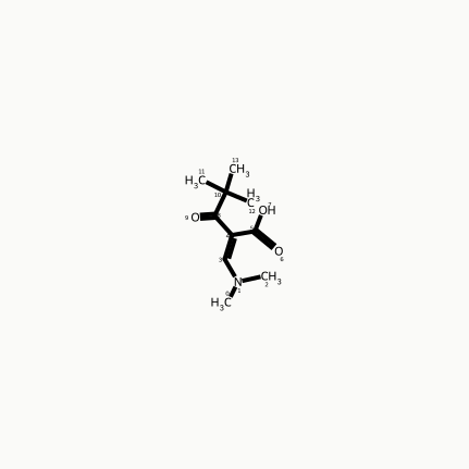 CN(C)C=C(C(=O)O)C(=O)C(C)(C)C